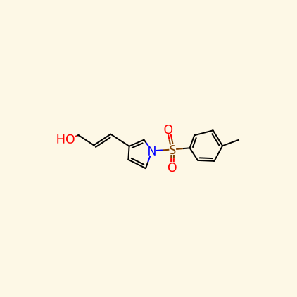 Cc1ccc(S(=O)(=O)n2ccc(/C=C/CO)c2)cc1